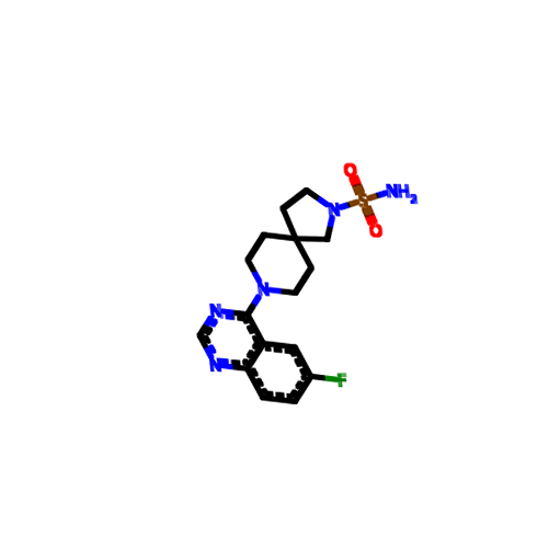 NS(=O)(=O)N1CCC2(CCN(c3ncnc4ccc(F)cc34)CC2)C1